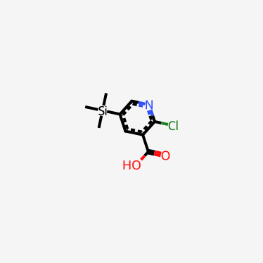 C[Si](C)(C)c1cnc(Cl)c(C(=O)O)c1